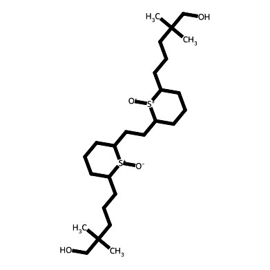 CC(C)(CO)CCCC1CCCC(CCC2CCCC(CCCC(C)(C)CO)[S+]2[O-])[S+]1[O-]